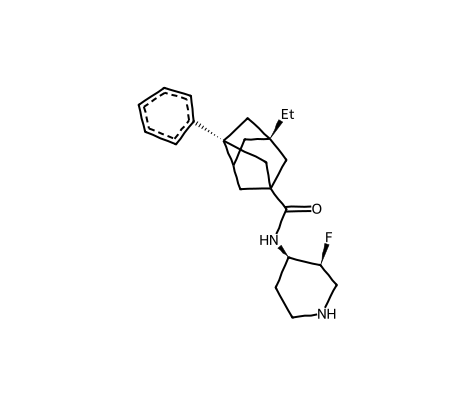 CC[C@]12CC3CC(C(=O)N[C@@H]4CCNC[C@@H]4F)(C1)C[C@]3(c1ccccc1)C2